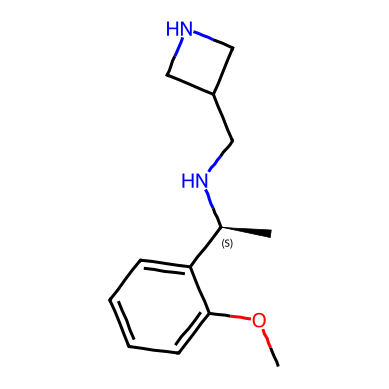 COc1ccccc1[C@H](C)NCC1CNC1